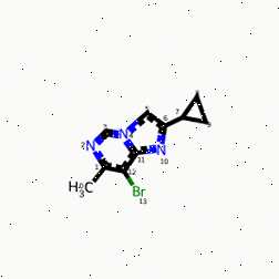 Cc1ncn2cc(C3CC3)nc2c1Br